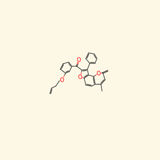 C=CCCOc1cccc(C(=O)c2oc3ccc4c(c3c2-c2ccccc2)OC(=C)C=C4C)c1